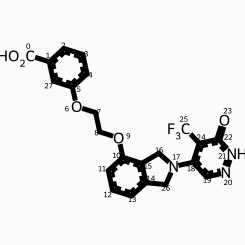 O=C(O)c1cccc(OCCOc2cccc3c2CN(c2cn[nH]c(=O)c2C(F)(F)F)C3)c1